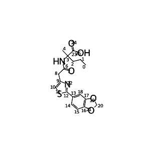 CCCC(C)(NC(=O)Cc1csc(-c2ccc3c(c2)OCO3)n1)C(=O)O